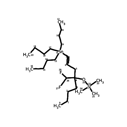 CCCCC(C/C=[CH]/[Sn]([CH2]CCC)([CH2]CCC)[CH2]CCC)(O[Si](C)(C)C)C(F)F